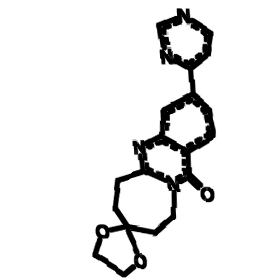 O=c1c2ccc(-c3ccncn3)cc2nc2n1CCC1(CC2)OCCO1